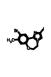 Cc1cc2c(cc1Br)-c1nc(I)cn1CCO2